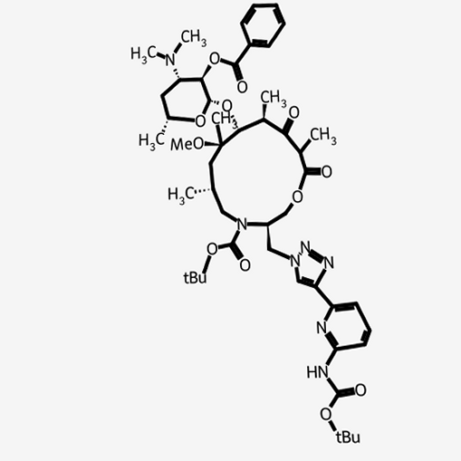 CO[C@]1(C)C[C@@H](C)CN(C(=O)OC(C)(C)C)[C@H](Cn2cc(-c3cccc(NC(=O)OC(C)(C)C)n3)nn2)COC(=O)C(C)C(=O)[C@H](C)[C@H]1O[C@@H]1O[C@H](C)C[C@H](N(C)C)[C@H]1OC(=O)c1ccccc1